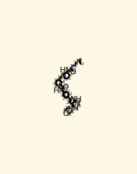 CN(C)C/C=C/C(=O)NC1CCCN(Cc2ccnc(C(=O)Nc3ccc(-c4cc5c(N6CCOCC6)ncnc5[nH]4)cc3)c2)C1